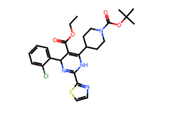 CCOC(=O)C1=C(C2CCN(C(=O)OC(C)(C)C)CC2)NC(c2nccs2)=NC1c1ccccc1Cl